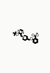 COC(=O)c1ccccc1OCC1CCN(Cc2nccnc2OC(C)(C)C)CC1